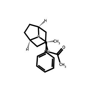 CC(=O)N[C@@]1(C)C[C@H]2CC[C@@H](C1)N2Cc1ccccc1